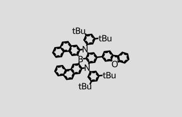 CC(C)(C)c1cc(N2c3cc4ccc5ccccc5c4cc3B3c4cc5c(ccc6ccccc65)cc4N(c4cc(C(C)(C)C)cc(C(C)(C)C)c4)c4cc(-c5ccc6c(c5)oc5ccccc56)cc2c43)cc(C(C)(C)C)c1